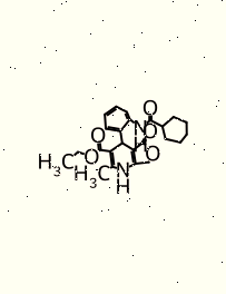 CCOC(=O)C1=C(C)NC2=C(C(=O)OC2)C1c1ccccc1NC(=O)C1CCCCC1